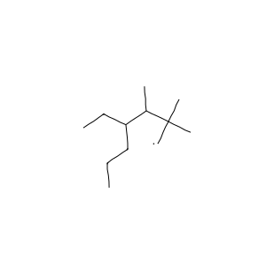 [CH2]C(C)(C)C(C)C(CC)CCC